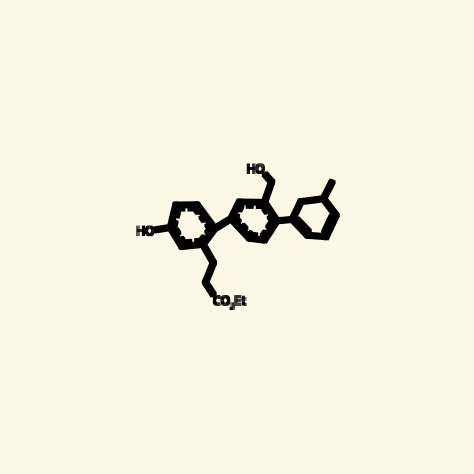 CCOC(=O)CCc1cc(O)ccc1-c1ccc(C2=CC=CC(C)C2)c(CO)c1